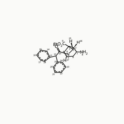 CCOC(=O)[C@@H]1[C@@H]2CC[C@@H](CC2N)N1C(=O)C(c1ccccc1)c1ccccc1